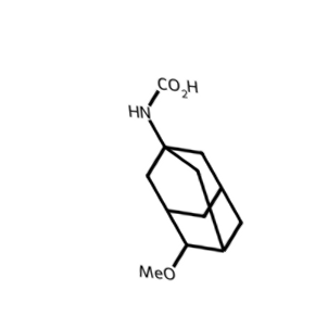 COC1C2CC3CC1CC(NC(=O)O)(C3)C2